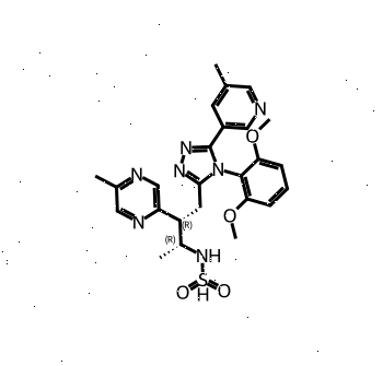 COc1cccc(OC)c1-n1c(C[C@@H](c2cnc(C)cn2)[C@@H](C)N[SH](=O)=O)nnc1-c1cncc(C)c1